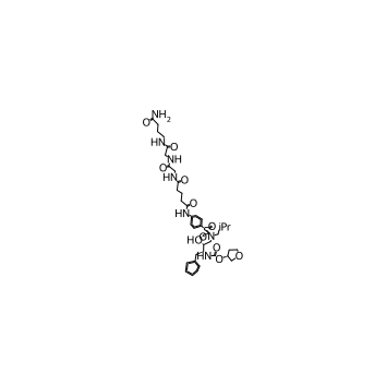 CC(C)CN(C[C@@H](O)[C@H](Cc1ccccc1)NC(=O)O[C@H]1CCOC1)S(=O)(=O)c1ccc(NC(=O)CCCC(=O)NCC(=O)NCC(=O)NCCCC(N)=O)cc1